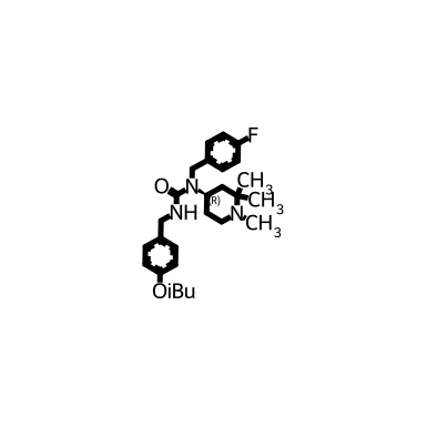 CC(C)COc1ccc(CNC(=O)N(Cc2ccc(F)cc2)[C@@H]2CCN(C)C(C)(C)C2)cc1